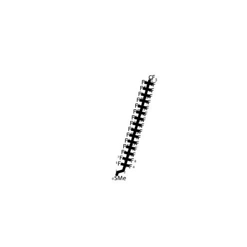 CSCCC(F)(F)C(F)(F)C(F)(F)C(F)(F)C(F)(F)C(F)(F)C(F)(F)C(F)(F)C(F)(F)C(F)(F)C(F)(F)C(F)(F)C(F)(F)C(F)(F)C(F)(F)C(F)(F)F